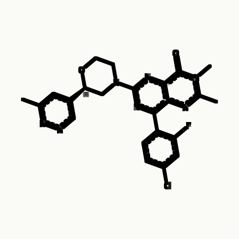 Cc1cc([C@@H]2CN(c3nc(-c4ccc(Cl)cc4F)c4nc(C)n(C)c(=O)c4n3)CCO2)cnn1